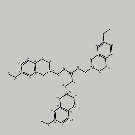 CCc1ccc2c(c1)CN(CCN(CCN1CCc3ccc(CC)cc3C1)CCN1COc3ccc(CC)cc3C1)CC2